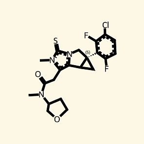 CN(C(=O)Cc1c2n(c(=S)n1C)C[C@@]1(c3c(F)ccc(Cl)c3F)CC21)C1CCOC1